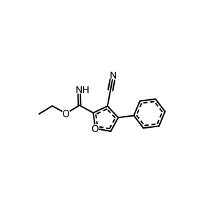 CCOC(=N)c1occ(-c2ccccc2)c1C#N